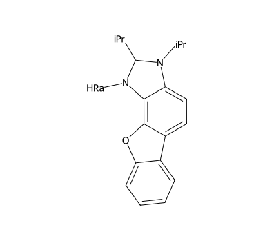 CC(C)C1[N]([RaH])c2c(ccc3c2oc2ccccc23)N1C(C)C